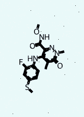 CONC(=O)c1nn(C)c(=O)c(C)c1Nc1ccc(SC)cc1F